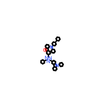 c1ccc(-c2ccc(N(c3ccccc3)c3cccc4oc5cc(-c6nc(-c7ccccc7)nc(-c7ccc8c(c7)c7ccccc7n8-c7ccccc7)n6)ccc5c34)cc2)cc1